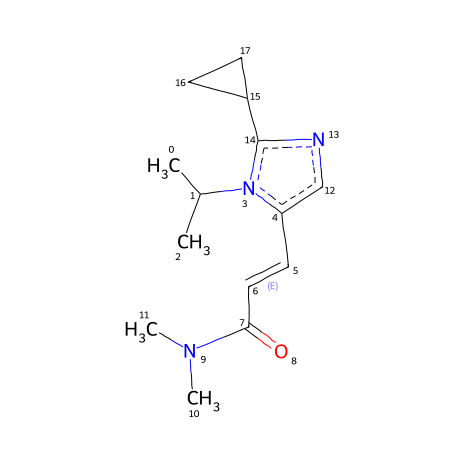 CC(C)n1c(/C=C/C(=O)N(C)C)cnc1C1CC1